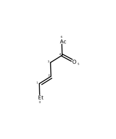 CCC=CCC(=O)C(C)=O